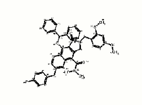 COc1ccc(CN2Cc3c(c(OC(c4ccccc4)c4ccccc4)c4ncc(Cc5ccc(F)cc5)cc4c3C(=O)N(C)C)C2=O)c(OC)c1